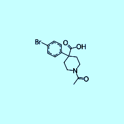 CC(=O)N1CCC(C(=O)O)(c2ccc(Br)cc2)CC1